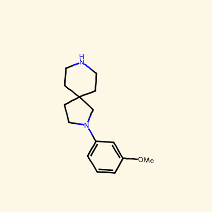 COc1cccc(N2CCC3(CCNCC3)C2)c1